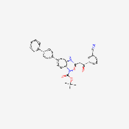 CC(C)(C)OC(=O)Nc1ccc(-c2ccc(-c3ccccc3)cc2)cc1NC(=O)CC(=O)c1cccc(C#N)c1